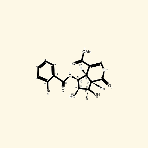 COC(=O)C1=COC(=O)[C@H]2[C@@H]1[C@H](OC(=O)c1ccccc1Br)[C@H](O)[C@]2(C)O